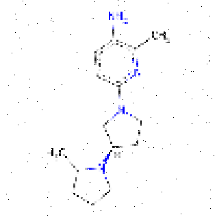 Cc1nc(N2CC[C@@H](N3CCCC3C)C2)ccc1N